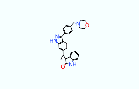 O=C1Nc2ccccc2C12CC2c1ccc2c(-c3ccc(CN4CCOCC4)cc3)n[nH]c2c1